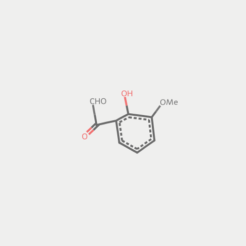 COc1cccc(C(=O)C=O)c1O